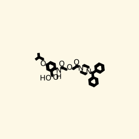 CC(C)COc1ccc(NC(=O)COCC(=O)N2CCN(C(c3ccccc3)c3ccccc3)CC2)c(C(=O)O)c1